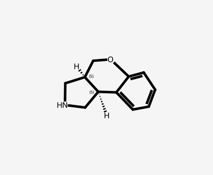 c1ccc2c(c1)OC[C@@H]1CNC[C@H]21